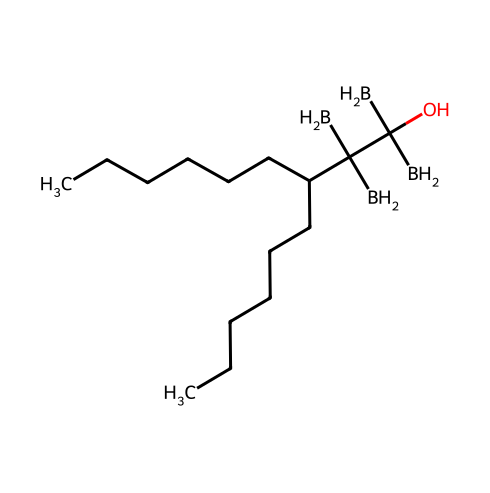 BC(B)(O)C(B)(B)C(CCCCCC)CCCCCC